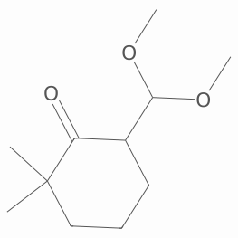 COC(OC)C1CCCC(C)(C)C1=O